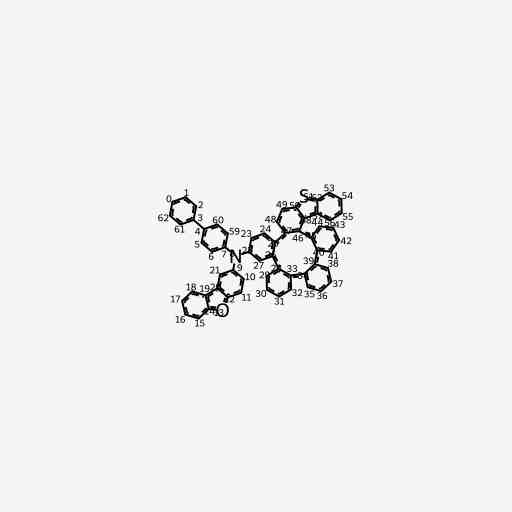 c1ccc(-c2ccc(N(c3ccc4oc5ccccc5c4c3)c3ccc4c(c3)c3ccccc3c3ccccc3c3ccccc3c3c4ccc4sc5ccccc5c43)cc2)cc1